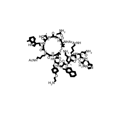 CC(=O)NCCCC[C@@H]1NC(=O)[C@H](CCc2c[nH]c3c(C)cccc23)NC(=O)[C@H]([C@@H](C)O)NC(=O)[C@H](CC(N)=O)NC(=O)[C@@H](NC(C)=O)C(C)(C)SSC(C)(C)[C@@H](C(=O)N[C@@H](Cc2ccc(OCCN)cc2)C(=O)N[C@@H](Cc2ccc3ccccc3c2)C(=O)N[C@@](C)(CCCCN)C(=O)N[C@@H](CCCCNC(C)=O)C(=O)N[C@@H](CC(N)=O)C(=O)N[C@@H](Cc2cnc[nH]2)C(N)=O)NC1=O